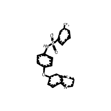 O=S(=O)(Nc1ccc(Oc2ccc3ncccc3c2)cc1)c1cccc(C(F)(F)F)c1